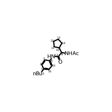 CCCCc1ccc(NC(=O)C(NC(C)=O)C2CCCC2)cc1